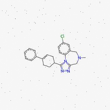 CN1Cc2cc(Cl)ccc2-n2c(nnc2C2CC=C(c3ccccc3)CC2)C1